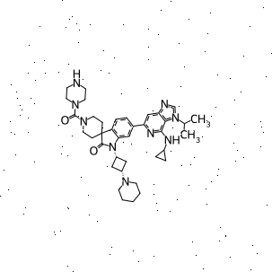 CC(C)n1cnc2cc(-c3ccc4c(c3)N([C@H]3C[C@@H](N5CCCCC5)C3)C(=O)C43CCN(C(=O)N4CCNCC4)CC3)nc(NC3CC3)c21